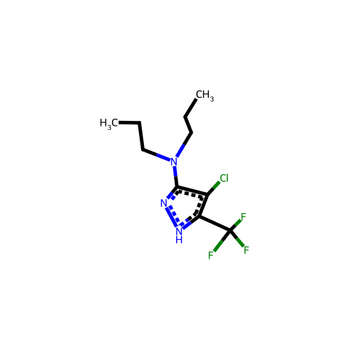 CCCN(CCC)c1n[nH]c(C(F)(F)F)c1Cl